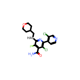 NC(=O)c1c(F)c([AsH]CC2CCOCC2)nc(-c2c[c]ncc2Cl)c1Cl